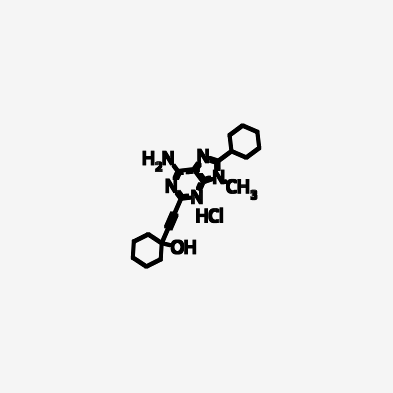 Cl.Cn1c(C2CCCCC2)nc2c(N)nc(C#CC3(O)CCCCC3)nc21